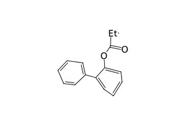 C[CH]C(=O)Oc1ccccc1-c1ccccc1